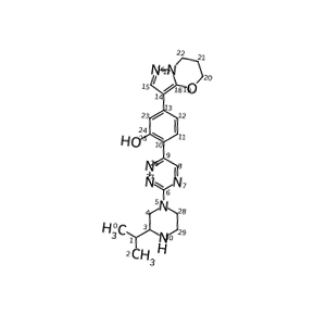 CC(C)C1CN(c2ncc(-c3ccc(-c4cnn5c4OCCC5)cc3O)nn2)CCN1